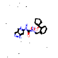 O=C(NCc1ccccc1C1(O)CCCC1)Nc1cc2[nH]n[c]c2cn1